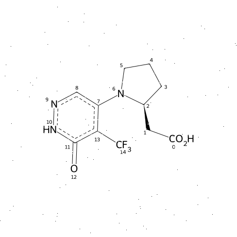 O=C(O)C[C@@H]1CCCN1c1cn[nH]c(=O)c1C(F)(F)F